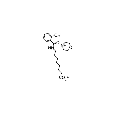 C1COCCN1.O=C(O)CCCCCCCNC(=O)c1ccccc1O